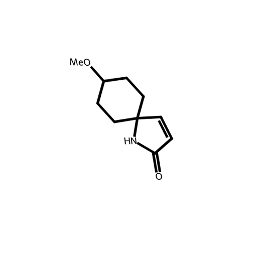 COC1CCC2(C=CC(=O)N2)CC1